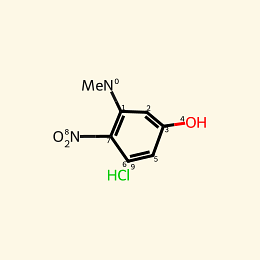 CNc1cc(O)ccc1[N+](=O)[O-].Cl